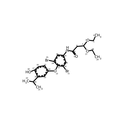 CCOC(CC(=O)Nc1cc(Br)c(Oc2ccc(O)c(C(C)C)c2)c(Br)c1)OCC